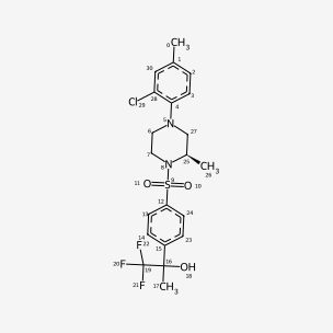 Cc1ccc(N2CCN(S(=O)(=O)c3ccc(C(C)(O)C(F)(F)F)cc3)[C@H](C)C2)c(Cl)c1